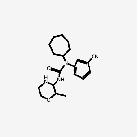 CC1OCCNC1NC(=O)N(c1cccc(C#N)c1)C1CCCCCC1